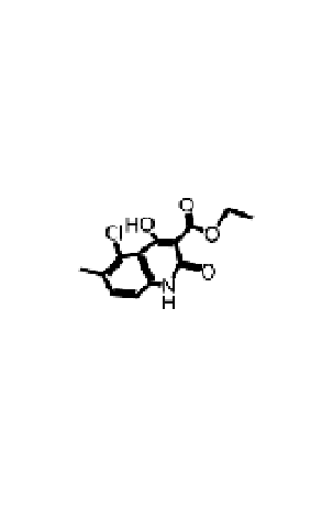 CCOC(=O)c1c(O)c2c(Cl)c(C)ccc2[nH]c1=O